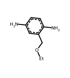 CCOCc1cc(N)ccc1N